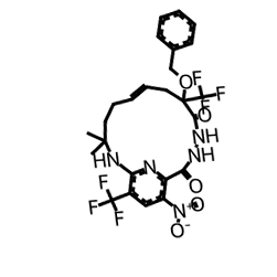 CC1(C)CC/C=C/CC(OCc2ccccc2)(C(F)(F)F)C(=O)NNC(=O)c2nc(c(C(F)(F)F)cc2[N+](=O)[O-])N1